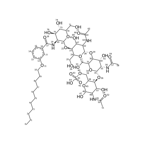 CCCCCCCCCCCOc1cccc(C(=O)N[C@@H]2C(O[C@@H]3C(CO)O[C@@H](OC4C(CO)O[C@@H](O[C@@H]5C(COS(=O)(=O)O)OC(O)C(NC(C)=O)C5O)[C@@H](NC(C)=O)[C@H]4O)C(NC(C)=O)C3O)OC(CO)[C@@H](O)[C@@H]2O)c1